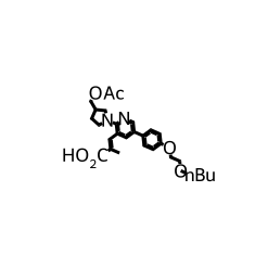 CCCCOCCOc1ccc(-c2cnc(N3CCC(COC(C)=O)C3)c(C=C(C)C(=O)O)c2)cc1